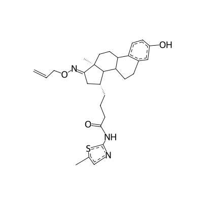 C=CCO/N=C1\C[C@@H](CCCC(=O)Nc2ncc(C)s2)C2C3CCc4cc(O)ccc4C3CC[C@]12C